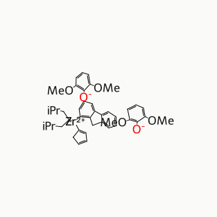 CC(C)C[C](CC(C)C)=[Zr+2]([C]1=CC=CC1)[c]1cccc2c1Cc1ccccc1-2.COc1cccc(OC)c1[O-].COc1cccc(OC)c1[O-]